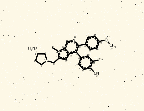 Cn1c(CN2CC[C@H](N)C2)cc2c(-c3ccc(C#N)c(F)c3)c(-c3ccc(OC(F)(F)F)cc3)ncc21